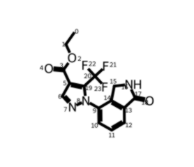 CCOC(=O)c1cnn(-c2cccc3c2CNC3=O)c1C(F)(F)F